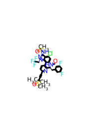 C[S+]([O-])Nc1nn(CC(F)(F)F)c2c(-c3ccc(C#CC(C)(C)[S+](C)[O-])nc3[C@H](Cc3cc(F)cc(F)c3)NC=O)ccc(Cl)c12